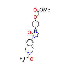 COC(=O)COC1CCC(n2ccn(-c3ccc4c(c3)CCN(C(=O)C(F)(F)F)CC4)c2=O)CC1